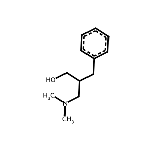 CN(C)CC(CO)Cc1ccccc1